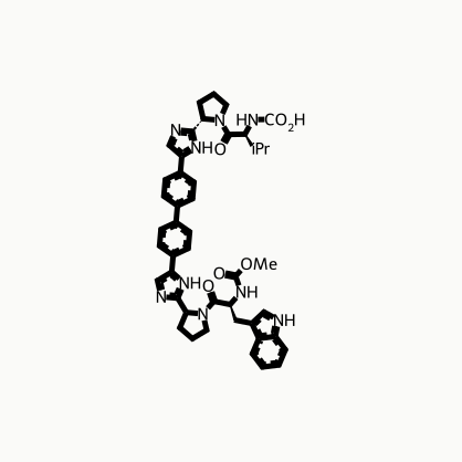 COC(=O)N[C@@H](Cc1c[nH]c2ccccc12)C(=O)N1CCCC1c1ncc(-c2ccc(-c3ccc(-c4cnc([C@@H]5CCCN5C(=O)[C@@H](NC(=O)O)C(C)C)[nH]4)cc3)cc2)[nH]1